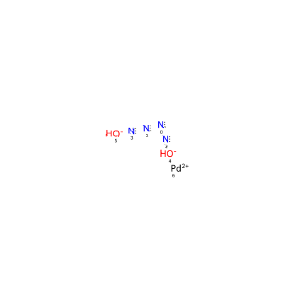 [N].[N].[N].[N].[OH-].[OH-].[Pd+2]